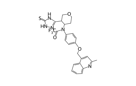 Cc1cc(COc2ccc(N(C(=O)C(F)(F)F)C3CCOCC3c3n[nH]c(=S)[nH]3)cc2)c2ccccc2n1